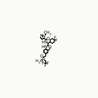 CCn1nccc1C(=O)NC(C(=O)Nc1ccc(CC(=O)N(C)CC(F)(F)F)cc1F)C1CCC(F)(F)CC1